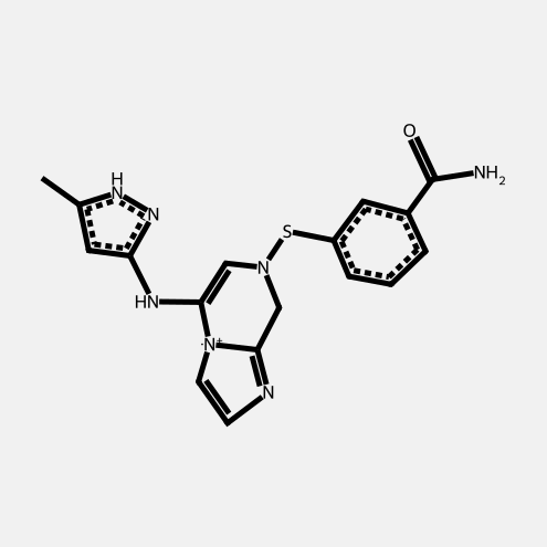 Cc1cc(NC2=CN(Sc3cccc(C(N)=O)c3)CC3=NC=C[N+]23)n[nH]1